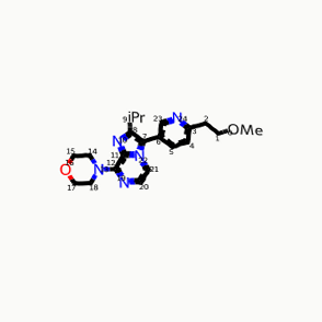 COCCc1ccc(-c2c(C(C)C)nc3c(N4CCOCC4)nccn23)cn1